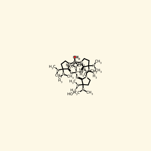 CN(C)P1CCC(N(C)C)(N(C)C)/C1=N/[P+](/N=C1\P(N(C)C)CCC1(N(C)C)N(C)C)(/N=C1\P(N(C)C)CCC1(N(C)C)N(C)C)N(C)C.[OH-]